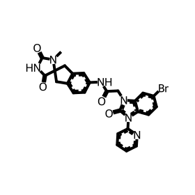 CN1C(=O)NC(=O)C12Cc1ccc(NC(=O)Cn3c(=O)n(-c4ccccn4)c4ccc(Br)cc43)cc1C2